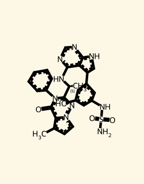 Cc1ccn2nc([C@H](C)Nc3ncnc4[nH]cc(-c5cc(O)cc(NS(N)(=O)=O)c5)c34)n(-c3ccccc3)c(=O)c12